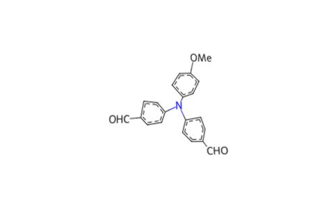 COc1ccc(N(c2ccc(C=O)cc2)c2ccc(C=O)cc2)cc1